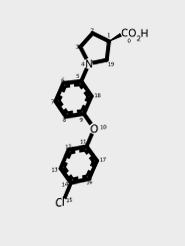 O=C(O)[C@@H]1CCN(c2cccc(Oc3ccc(Cl)cc3)c2)C1